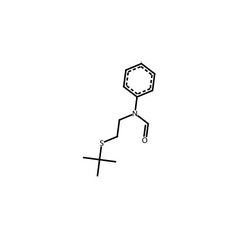 CC(C)(C)SCCN(C=O)c1cc[c]cc1